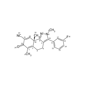 CC1=C2CCc3c(nn(C)c3-c3cccc(F)c3)[C@@]2(C)C=C(C#N)C1=O